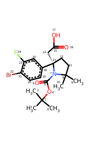 CC(C)(C)OC(=O)N1C(C)(C)CC[C@]1(CC(=O)O)c1ccc(Br)c(F)c1